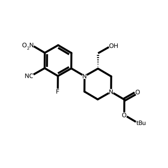 CC(C)(C)OC(=O)N1CCN(c2ccc([N+](=O)[O-])c(C#N)c2F)[C@H](CO)C1